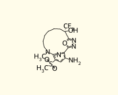 CN1CCCCCC[C@](O)(C(F)(F)F)c2nnc(o2)-c2nc1c(S(C)(=O)=O)cc2N